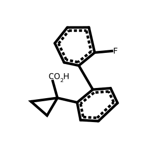 O=C(O)C1(c2ccccc2-c2ccccc2F)CC1